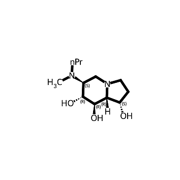 CCCN(C)[C@H]1CN2CC[C@H](O)[C@@H]2[C@@H](O)[C@@H]1O